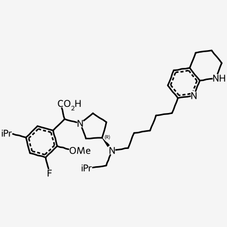 COc1c(F)cc(C(C)C)cc1C(C(=O)O)N1CC[C@@H](N(CCCCCc2ccc3c(n2)NCCC3)CC(C)C)C1